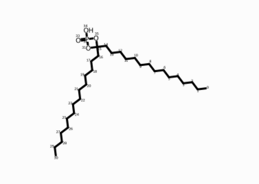 CCCCCCCCCCCCCCCC1(CCCCCCCCCCCCCCC)OP(=O)(O)O1